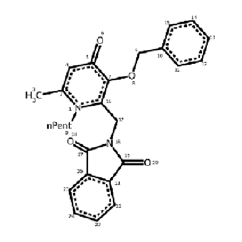 CCCCCn1c(C)cc(=O)c(OCc2ccccc2)c1CN1C(=O)c2ccccc2C1=O